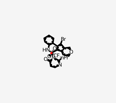 CCCc1nccc(=O)n1Cc1c2ccocc-2c(Br)c1-c1ccccc1NS(=O)(=O)C(F)(F)F